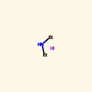 CCNCC.I